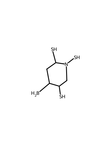 BC1CC(S)N(S)CC1S